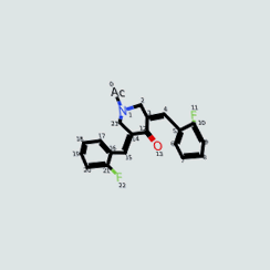 CC(=O)N1C/C(=C/c2ccccc2F)C(=O)/C(=C/c2ccccc2F)C1